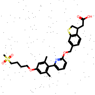 Cc1cc(OCCCCS(C)(=O)=O)cc(C)c1-c1cccc(OCc2ccc3c(c2)SCC3CC(=O)O)n1